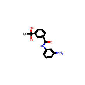 CC(O)(O)c1cccc(C(=O)Nc2cccc(N)c2)c1